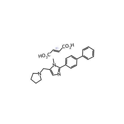 Cn1c(CN2CCCC2)cnc1-c1ccc(-c2ccccc2)cc1.O=C(O)/C=C/C(=O)O